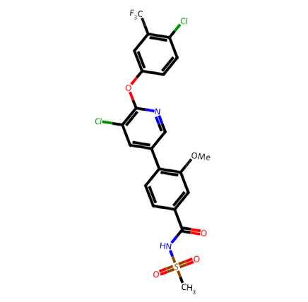 COc1cc(C(=O)NS(C)(=O)=O)ccc1-c1cnc(Oc2ccc(Cl)c(C(F)(F)F)c2)c(Cl)c1